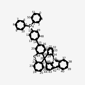 c1ccc(P(c2ccccc2)c2ccc(-c3ccc4c(c3)Sc3ccccc3C43c4ccccc4-n4c5ccccc5c5cccc3c54)cc2)cc1